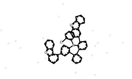 Clc1ccccc1N1c2ccc(-c3cccc4oc5ccccc5c34)cc2-c2ccccc2-c2cccc(-c3ccc4oc5ccccc5c4c3)c21